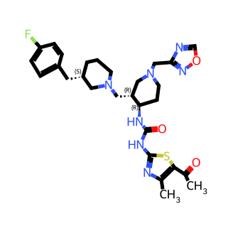 CC(=O)c1sc(NC(=O)N[C@@H]2CCN(Cc3ncon3)C[C@H]2CN2CCC[C@@H](Cc3ccc(F)cc3)C2)nc1C